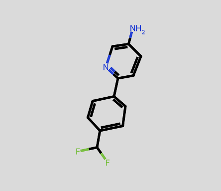 Nc1ccc(-c2ccc(C(F)F)cc2)nc1